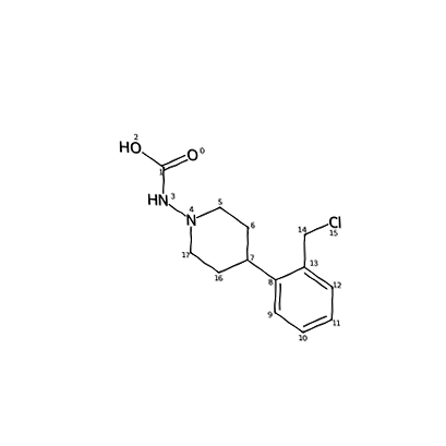 O=C(O)NN1CCC(c2ccccc2CCl)CC1